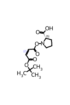 CC(C)(C)OC(=O)/C=C\C(=O)ON1CCC[C@H]1C(=O)O